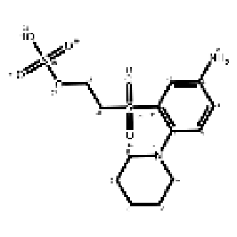 Nc1ccc(N2CCCCC2)c(S(=O)(=O)CCOS(=O)(=O)O)c1